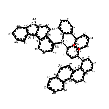 c1ccc(-c2ccccc2N(c2ccc(-c3cccc4ccc5c6ccccc6ccc5c34)cc2)c2cccc3c2ccc2oc4ccccc4c23)cc1